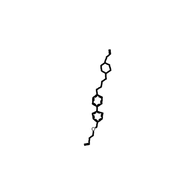 C=CCCOCc1ccc(-c2ccc(CCCCC3CCC(CC=C)CC3)cc2)cc1